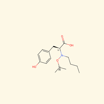 CCCCN(O[SiH](C)C)[C@@H](Cc1ccc(O)cc1)C(=O)O